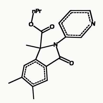 CCCOC(=O)C1(C)c2cc(C)c(C)cc2C(=O)N1c1cccnc1